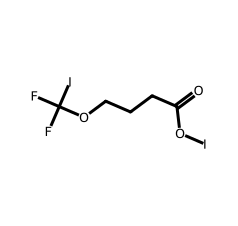 O=C(CCCOC(F)(F)I)OI